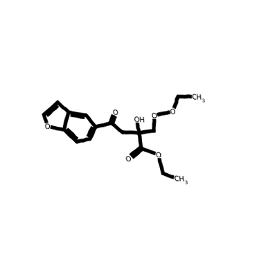 CCOOCC(O)(CC(=O)c1ccc2occc2c1)C(=O)OCC